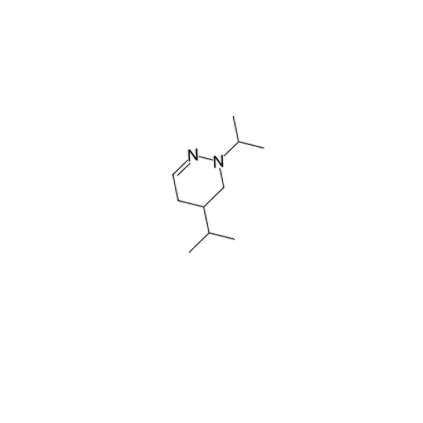 CC(C)C1CC=NN(C(C)C)C1